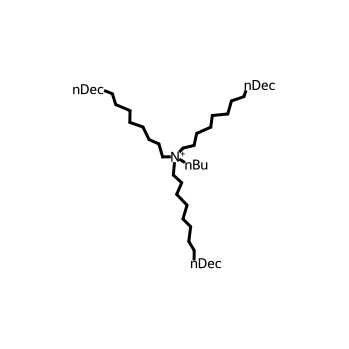 CCCCCCCCCCCCCCCCCC[N+](CCCC)(CCCCCCCCCCCCCCCCCC)CCCCCCCCCCCCCCCCCC